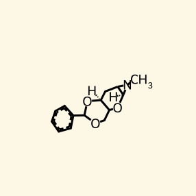 CN1C2C[C@@H]3OC(c4ccccc4)OCC3O[C@@H]21